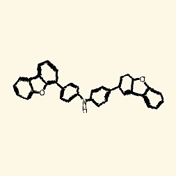 C1=C(c2ccc(Nc3ccc(-c4cccc5c4oc4ccccc45)cc3)cc2)C=C2c3ccccc3OC2C1